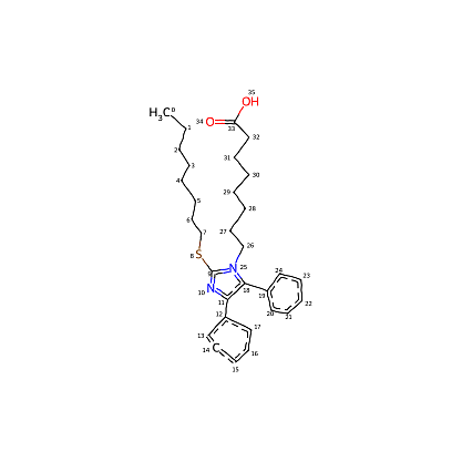 CCCCCCCCSc1nc(-c2ccccc2)c(-c2ccccc2)n1CCCCCCCC(=O)O